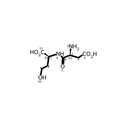 N[C@@H](CC(=O)O)C(=O)N[C@@H](CCO)C(=O)O